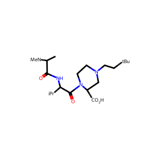 CNC(C)C(=O)NC(C(=O)N1CCN(CCC(C)(C)C)CC1C(=O)O)C(C)C